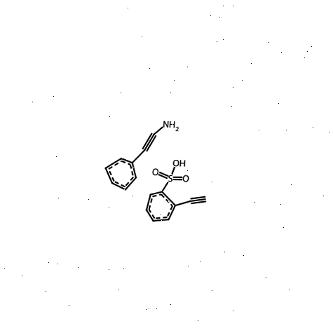 C#Cc1ccccc1S(=O)(=O)O.NC#Cc1ccccc1